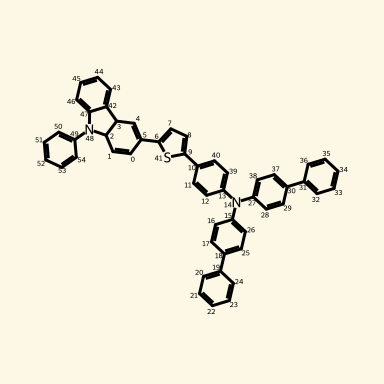 C1=CC2C(C=C1c1ccc(-c3ccc(N(c4ccc(-c5ccccc5)cc4)c4ccc(-c5ccccc5)cc4)cc3)s1)c1ccccc1N2c1ccccc1